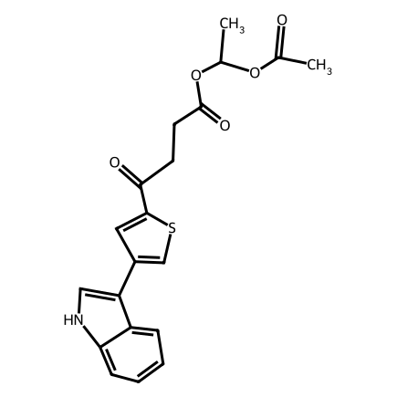 CC(=O)OC(C)OC(=O)CCC(=O)c1cc(-c2c[nH]c3ccccc23)cs1